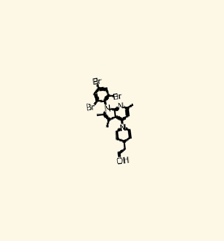 Cc1cc(N2CCC(CCO)CC2)c2c(C)c(C)n(-c3c(Br)cc(Br)cc3Br)c2n1